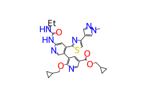 CCNC(=O)Nc1cc(-c2nc(-c3cnn(C)c3)cs2)c(-c2cc(C(=O)OCC3CC3)cnc2OCC2CC2)cn1